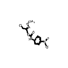 CON=C(CCl)OC(=O)Nc1ccc([N+](=O)[O-])cc1